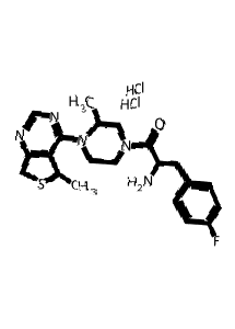 CC1SCc2ncnc(N3CCN(C(=O)C(N)Cc4ccc(F)cc4)CC3C)c21.Cl.Cl